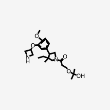 CCC1(C)CN(C(=O)CCOC(C)(C)O)CC1c1ccc(OC)c(OC2CNC2)c1